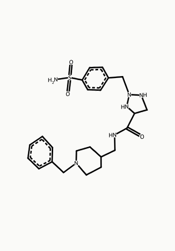 NS(=O)(=O)c1ccc(CN2NCC(C(=O)NCC3CCN(Cc4ccccc4)CC3)N2)cc1